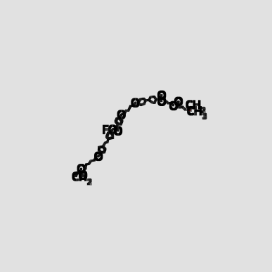 C=CC(=O)OCCCCCCOc1ccc(CCc2ccc(OC(=O)c3ccc(OCCCCCOC4CCC(C5CCC(C(=O)OCCCOC(=O)/C=C/CC(=C)C)CC5)CC4)cc3)c(F)c2)cc1